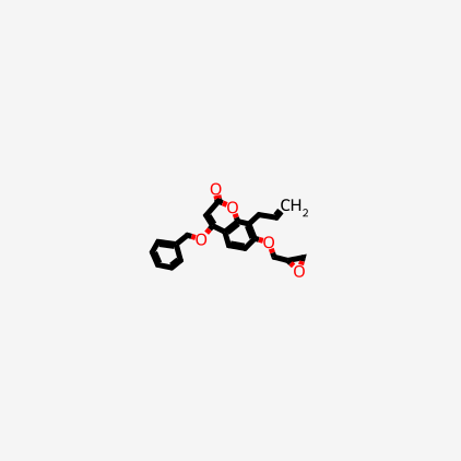 C=CCc1c(OCC2CO2)ccc2c(OCc3ccccc3)cc(=O)oc12